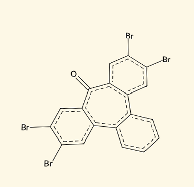 O=c1c2cc(Br)c(Br)cc2c2ccccc2c2cc(Br)c(Br)cc12